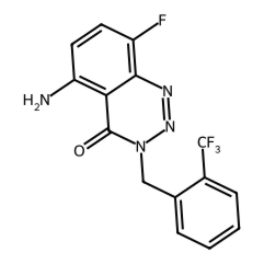 Nc1ccc(F)c2nnn(Cc3ccccc3C(F)(F)F)c(=O)c12